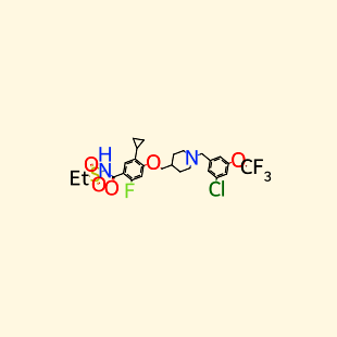 CCS(=O)(=O)NC(=O)c1cc(C2CC2)c(OCC2CCN(Cc3cc(Cl)cc(OC(F)(F)F)c3)CC2)cc1F